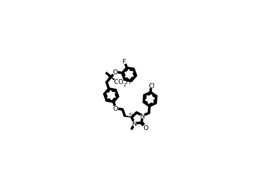 CN1C(=O)N(Cc2ccc(Cl)cc2)C[C@@H]1CCOc1ccc(C[C@](C)(Oc2ccccc2F)C(=O)O)cc1